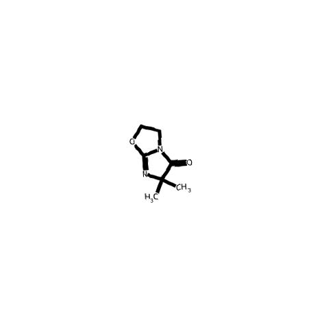 CC1(C)N=C2OCCN2C1=O